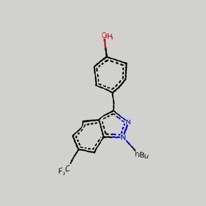 CCCCn1nc(-c2ccc(O)cc2)c2ccc(C(F)(F)F)cc21